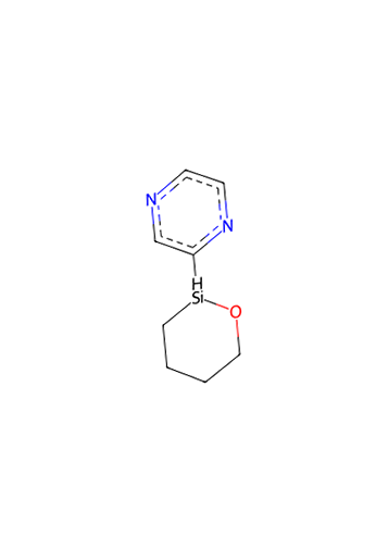 c1cnc([SiH]2CCCCO2)cn1